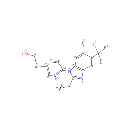 CCc1nc2cc(C(F)(F)F)c(Cl)cc2n1-c1ccc(CCO)cn1